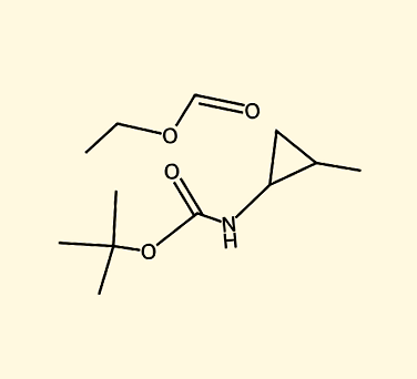 CC1CC1NC(=O)OC(C)(C)C.CCOC=O